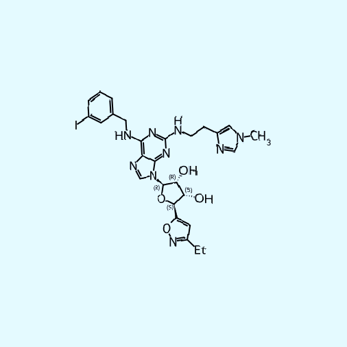 CCc1cc([C@H]2O[C@@H](n3cnc4c(NCc5cccc(I)c5)nc(NCCc5cn(C)cn5)nc43)[C@H](O)[C@@H]2O)on1